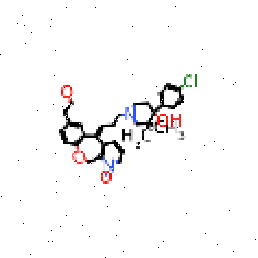 CC1(C)CN(CCC=C2c3cc(CC=O)ccc3OCc3c2ccc[n+]3[O-])CCC1(O)c1ccc(Cl)cc1